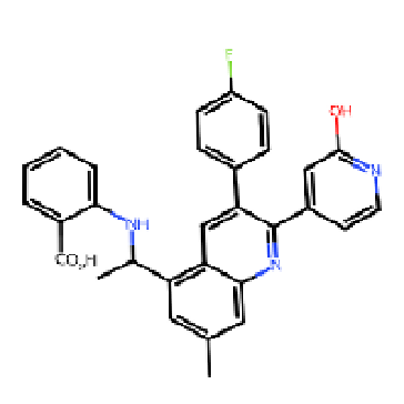 Cc1cc(C(C)Nc2ccccc2C(=O)O)c2cc(-c3ccc(F)cc3)c(-c3ccnc(O)c3)nc2c1